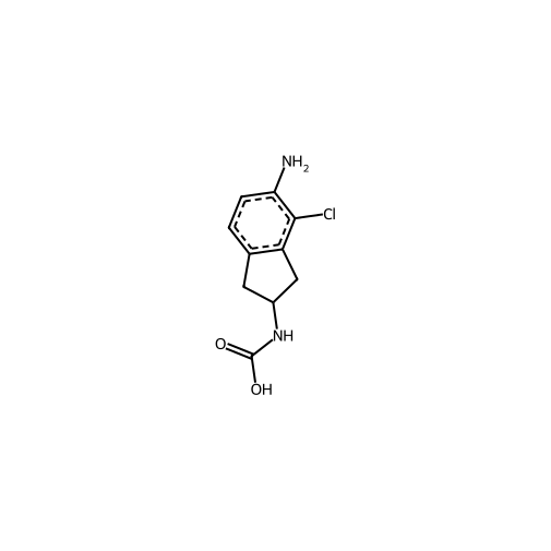 Nc1ccc2c(c1Cl)CC(NC(=O)O)C2